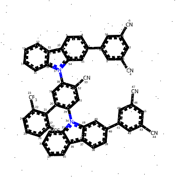 N#Cc1cc(C#N)cc(-c2ccc3c4ccccc4n(-c4cc(-c5c(C(F)(F)F)cccc5C(F)(F)F)c(-n5c6ccccc6c6ccc(-c7cc(C#N)cc(C#N)c7)cc65)cc4C#N)c3c2)c1